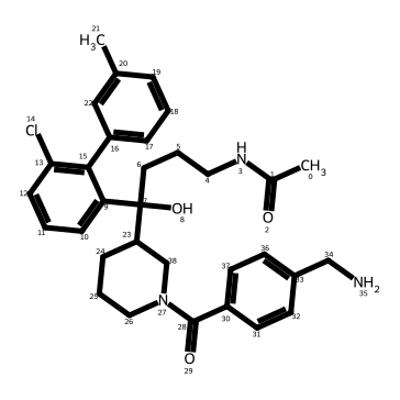 CC(=O)NCCCC(O)(c1cccc(Cl)c1-c1cccc(C)c1)C1CCCN(C(=O)c2ccc(CN)cc2)C1